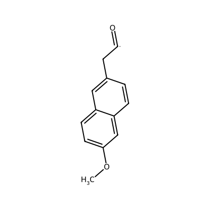 COc1ccc2cc(C[C]=O)ccc2c1